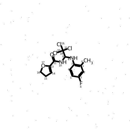 Cc1cc(F)ccc1NC(NC(=O)C1=CCCO1)C(Cl)(Cl)Cl